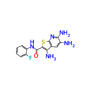 Nc1cc2c(N)c(C(=O)Nc3ccccc3F)sc2nc1N